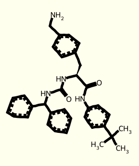 CC(C)(C)c1ccc(NC(=O)[C@H](Cc2ccc(CN)cc2)NC(=O)NC(c2ccccc2)c2ccccc2)cc1